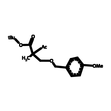 COc1ccc(COCC(C)(C(C)=O)C(=O)OC(C)(C)C)cc1